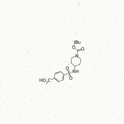 CC(C)(C)OC(=O)N1CCC(NS(=O)(=O)c2ccc(C(=O)O)cc2)CC1